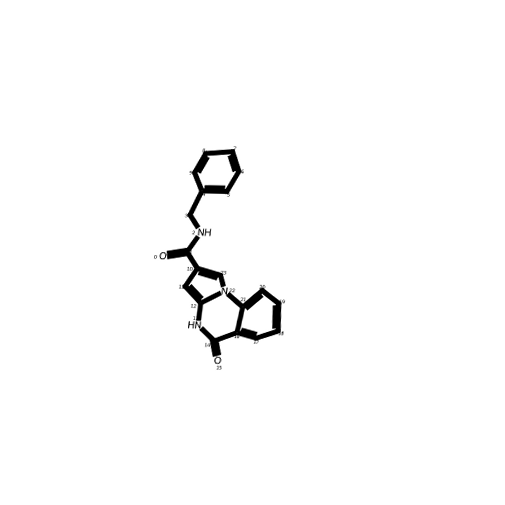 O=C(NCc1ccccc1)c1cc2[nH]c(=O)c3ccccc3n2c1